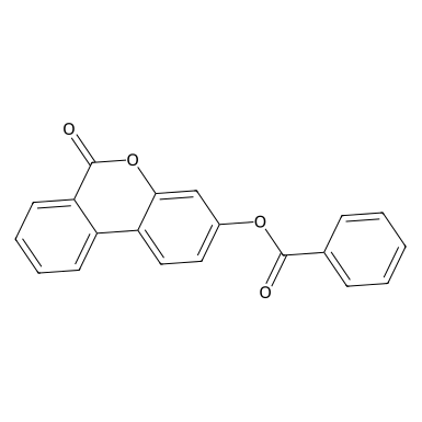 O=C(Oc1ccc2c(c1)oc(=O)c1ccccc12)c1ccccc1